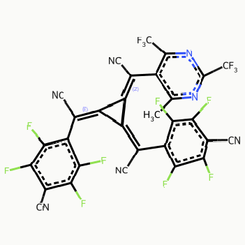 Cc1nc(C(F)(F)F)nc(C(F)(F)F)c1/C(C#N)=C1\C(=C(C#N)c2c(F)c(F)c(C#N)c(F)c2F)\C1=C(\C#N)c1c(F)c(F)c(C#N)c(F)c1F